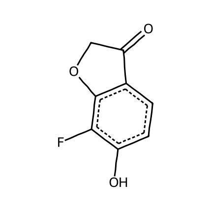 O=C1COc2c1ccc(O)c2F